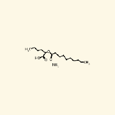 CCCCCCCCCC(=O)OC(CCCC)C(=O)O.N